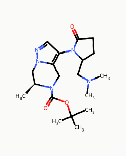 C[C@H]1Cn2ncc(N3C(=O)CCC3CN(C)C)c2CN1C(=O)OC(C)(C)C